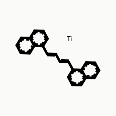 C(C=Cc1cccc2ccccc12)=Cc1cccc2ccccc12.[Ti]